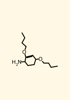 CCCCOC1=CC(OCCCC)CCC1N